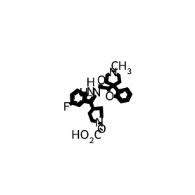 CN1CCC2(CC1)c1ccccc1OC2C(N)=O.O=C(O)ON1CCC(c2c[nH]c3ccc(F)cc23)CC1